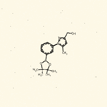 Cc1cc(CO)nn1-c1cccc(B2OC(C)(C)C(C)(C)O2)c1